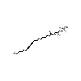 CCCCCCCCCCCCCCC#CC#CCCCCCCCCC(=O)NCC(O)COP(=O)(O)O